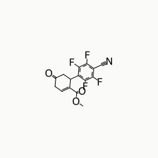 COC(=O)C1=CCC(=O)CC1c1c(F)c(F)c(C#N)c(F)c1F